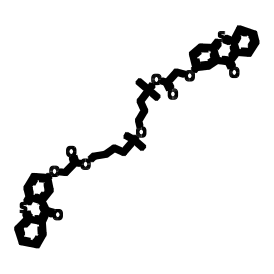 CC(C)(CCCCOC(=O)COc1ccc2sc3ccccc3c(=O)c2c1)OCCCC(C)(C)OC(=O)COc1ccc2sc3ccccc3c(=O)c2c1